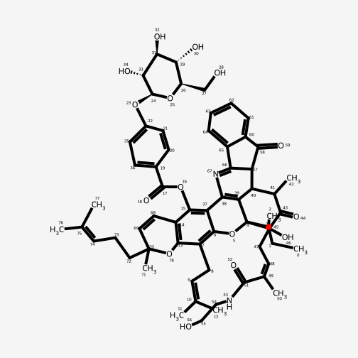 CCC(C)C12Oc3c(CC=C(C)C)c4c(c(OC(=O)c5ccc(O[C@@H]6O[C@H](CO)[C@@H](O)[C@H](O)[C@H]6O)cc5)c3C3=C1C(C(C)C(=O)C2(O)C/C=C(/C)C(=O)NCCO)C1C(=O)c2ccccc2C1=N3)C=CC(C)(CCC=C(C)C)O4